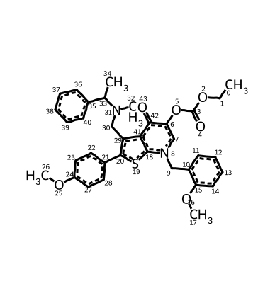 CCOC(=O)Oc1cn(Cc2ccccc2OC)c2sc(-c3ccc(OC)cc3)c(CN(C)C(C)c3ccccc3)c2c1=O